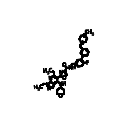 CCc1nc2c(cnn2CC)c(NC2CCOCC2)c1-c1nc(C(=O)NCc2ccc(F)c(-c3cccc(CN4CCN(C)CC4)c3)c2)co1